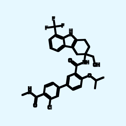 CNC(=O)c1ccc(-c2ccc(OC(C)C)c(C(=O)NC3(CO)CCc4[nH]c5c(C(F)(F)F)cccc5c4C3)c2)cc1Cl